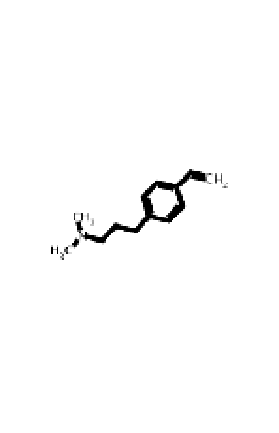 C=Cc1ccc(CCCN(C)C)cc1